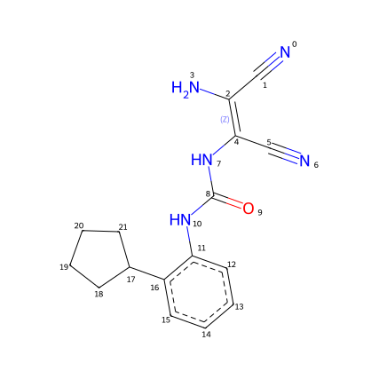 N#C/C(N)=C(\C#N)NC(=O)Nc1ccccc1C1CCCC1